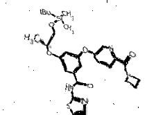 C[C@@H](CO[Si](C)(C)C(C)(C)C)Oc1cc(Oc2ccc(C(=O)N3CCC3)nc2)cc(C(=O)Nc2nccs2)c1